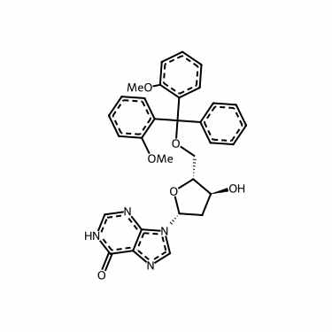 COc1ccccc1C(OC[C@H]1O[C@@H](n2cnc3c(=O)[nH]cnc32)C[C@@H]1O)(c1ccccc1)c1ccccc1OC